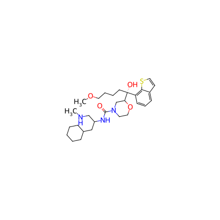 CNCC(CC1CCCCC1)NC(=O)N1CCOC([C@@](O)(CCCCOC)c2cccc3ccsc23)C1